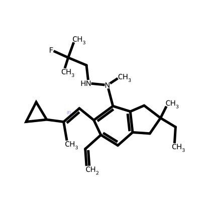 C=Cc1cc2c(c(N(C)NCC(C)(C)F)c1/C=C(\C)C1CC1)CC(C)(CC)C2